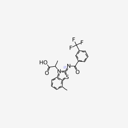 Cc1cccc2c1s/c(=N\C(=O)c1cccc(C(F)(F)F)c1)n2C(C)C(=O)O